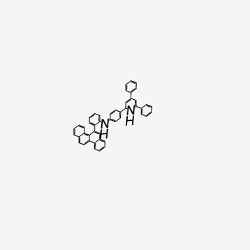 C1=C(c2ccccc2)C=C(c2ccccc2)NC1c1ccc(Nc2ccccc2-c2cc3ccccc3c3ccc4ccccc4c23)cc1